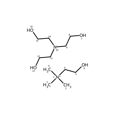 C[N+](C)(C)CCO.OCCN(CCO)CCO